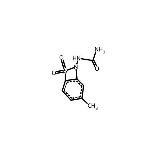 Cc1ccc2c(c1)N(NC(N)=O)S2(=O)=O